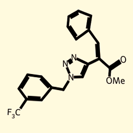 COC(=O)C(=Cc1ccccc1)c1cn(Cc2cccc(C(F)(F)F)c2)nn1